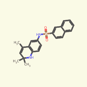 CC1=CC(C)(C)Nc2ccc(NS(=O)(=O)c3ccc4ccccc4c3)cc21